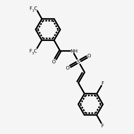 O=C(NS(=O)(=O)/C=C/c1ccc(F)cc1F)c1ccc(C(F)(F)F)cc1C(F)(F)F